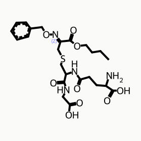 CCCCOC(=O)/C(CSCC(NC(=O)CCC(N)C(=O)O)C(=O)NCC(=O)O)=N/OCc1ccccc1